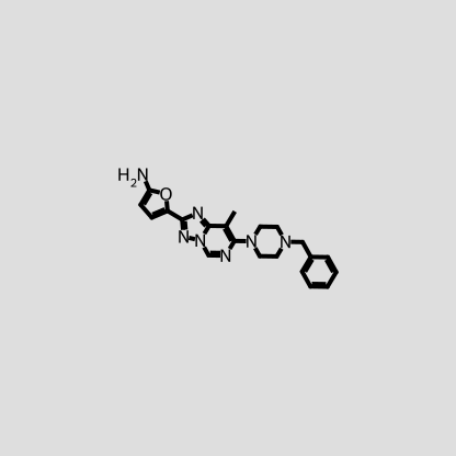 Cc1c(N2CCN(Cc3ccccc3)CC2)ncn2nc(-c3ccc(N)o3)nc12